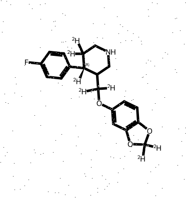 [2H]C1([2H])Oc2ccc(OC([2H])([2H])C3CNCC([2H])([2H])[C@@]3([2H])c3ccc(F)cc3)cc2O1